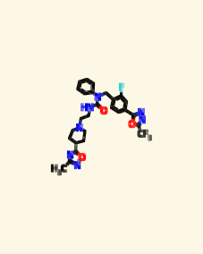 Cc1noc(C2CCN(CCNC(=O)N(Cc3ccc(-c4nnc(C(F)(F)F)o4)cc3F)c3ccccc3)CC2)n1